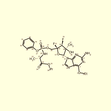 CCOc1nc(N)nc2c1ncn2[C@@H]1O[C@](F)(COP(=O)(N[C@@H](C)C(=O)OC(C)C)Oc2ccccc2)[C@@H](F)[C@@]1(C)O